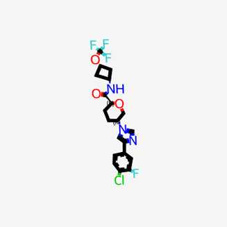 O=C(N[C@H]1C[C@@H](OC(F)(F)F)C1)[C@@H]1CC[C@@H](n2cnc(-c3ccc(Cl)c(F)c3)c2)CO1